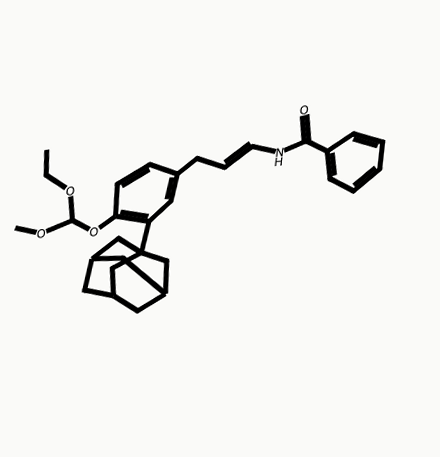 CCOC(OC)Oc1ccc(CC=CNC(=O)c2ccccc2)cc1C12CC3CC(CC(C3)C1)C2